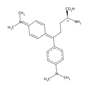 CN(C)c1ccc(C(CC[C@H](N)C(=O)O)=C2C=CC(=[N+](C)C)C=C2)cc1